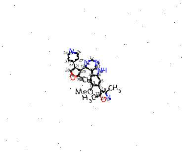 COc1cc2c(cc1-c1c(C)noc1C)[nH]c1ncnc(-c3c(-c4ccncc4)coc3C)c12